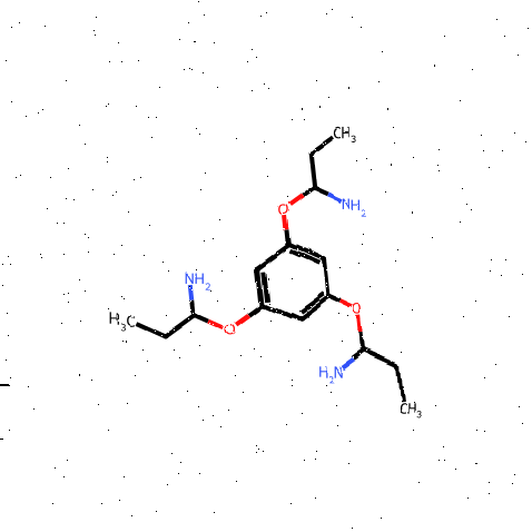 CCC(N)Oc1cc(OC(N)CC)cc(OC(N)CC)c1